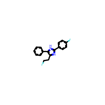 FCCc1nc(-c2ccc(F)cc2)[nH]c1-c1ccccc1